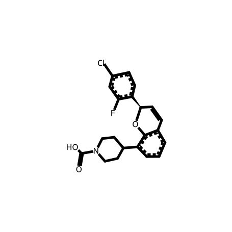 O=C(O)N1CCC(c2cccc3c2O[C@@H](c2ccc(Cl)cc2F)C=C3)CC1